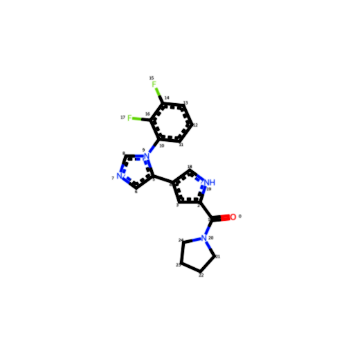 O=C(c1cc(-c2cncn2-c2cccc(F)c2F)c[nH]1)N1CCCC1